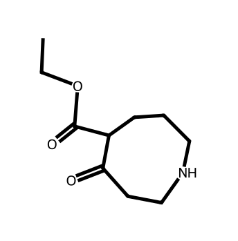 CCOC(=O)C1CCCNCCC1=O